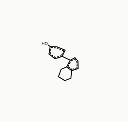 Oc1ccc(-c2cccc3c2CCCC3)cc1